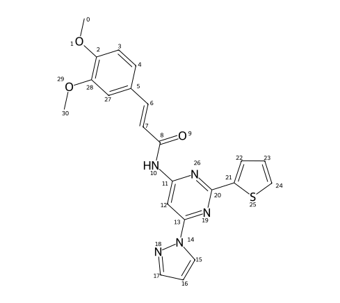 COc1ccc(/C=C/C(=O)Nc2cc(-n3cccn3)nc(-c3cccs3)n2)cc1OC